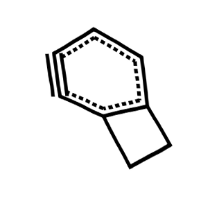 c1ccc2c(c#1)CC2